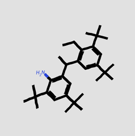 CCc1c(C(C)c2cc(C(C)(C)C)cc(C(C)(C)C)c2N)cc(C(C)(C)C)cc1C(C)(C)C